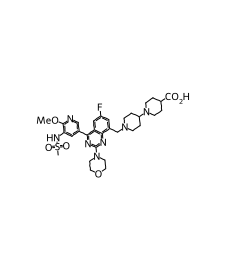 COc1ncc(-c2nc(N3CCOCC3)nc3c(CN4CCC(N5CCC(C(=O)O)CC5)CC4)cc(F)cc23)cc1NS(C)(=O)=O